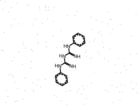 N=C(NC(=N)Nc1ccccc1)Nc1ccccc1